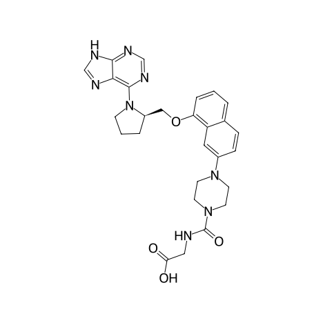 O=C(O)CNC(=O)N1CCN(c2ccc3cccc(OC[C@H]4CCCN4c4ncnc5[nH]cnc45)c3c2)CC1